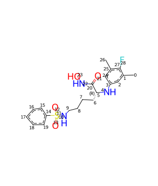 Cc1cc(N[C@H](CCCCNS(=O)(=O)c2ccccc2)C(=O)NO)cc(C)c1F